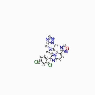 Clc1ccc(-c2nc3ccc(-c4ncon4)cn3c2CN2CCn3ncnc3C2)c(Cl)c1